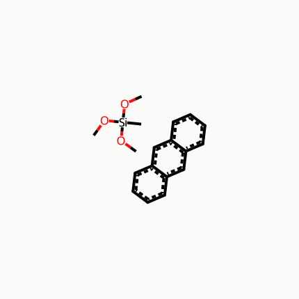 CO[Si](C)(OC)OC.c1ccc2cc3ccccc3cc2c1